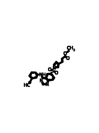 C#Cc1cccc(Nc2ncnc3ccc(S(=O)(=O)n4ccc(/C=C/C(=O)OCC)c4)cc23)c1